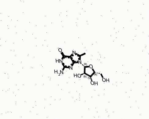 Cc1nc2c(=O)[nH]c(N)nc2n1[C@@H]1O[C@H](CO)[C@@H](O)[C@H]1O